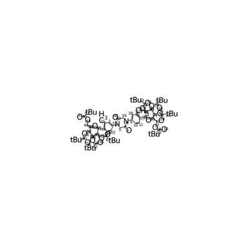 Cc1cc(N2CC(=O)N(c3ccc([C@H]4O[C@H](COC(=O)C(C)(C)C)[C@@H](OC(=O)C(C)(C)C)[C@H](OC(=O)C(C)(C)C)[C@@H]4OC(=O)C(C)(C)C)c(C)c3)CC2=O)ccc1[C@H]1O[C@H](COC(=O)C(C)(C)C)[C@@H](OC(=O)C(C)(C)C)[C@H](OC(=O)C(C)(C)C)[C@@H]1OC(=O)C(C)(C)C